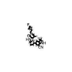 Cc1cc(Nc2nccc(-c3cc(C#N)c4c(c3)C(C)(C)CN4)n2)c(=O)n(CCN2CC(F)C2)c1